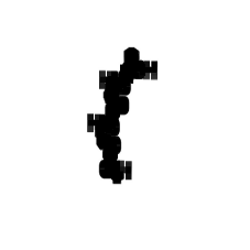 COCC1(c2ccc(CC(C)CNC(=O)C(C)(C)N3CCC(CO)(c4ccccc4)CC3)cc2)CCN(C(C)(C)C(=O)NCC(C)Cc2ccc3c(c2)COC32CCN(C(C)(C)C(=O)NCC(C)C)CC2)CC1